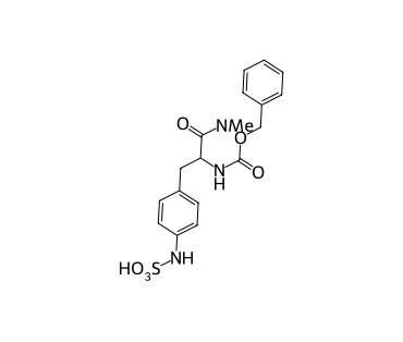 CNC(=O)C(Cc1ccc(NS(=O)(=O)O)cc1)NC(=O)OCc1ccccc1